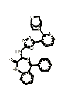 O=C1Nc2ccccc2C(c2ccccc2)=NC1Nc1nnc(-c2cccnc2N2CC3CC2CO3)o1